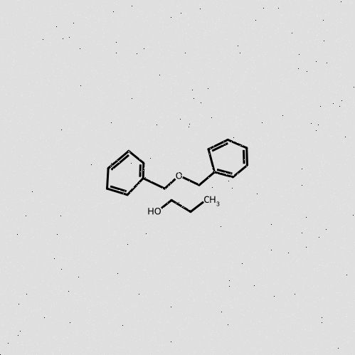 CCCO.c1ccc(COCc2ccccc2)cc1